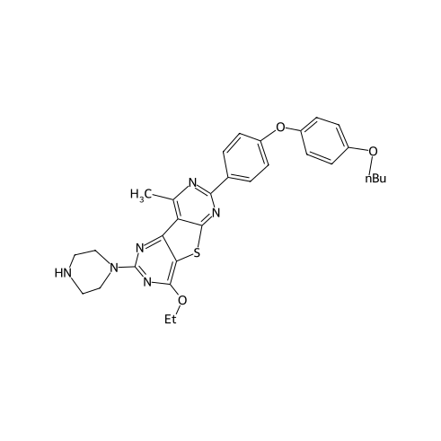 CCCCOc1ccc(Oc2ccc(-c3nc(C)c4c(n3)sc3c(OCC)nc(N5CCNCC5)nc34)cc2)cc1